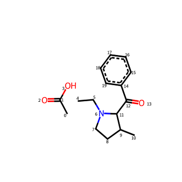 CC(=O)O.CCN1CCC(C)C1C(=O)c1ccccc1